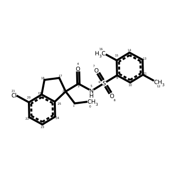 CCC1(C(=O)NS(=O)(=O)c2cc(C)ccc2C)CCc2c(Cl)cccc21